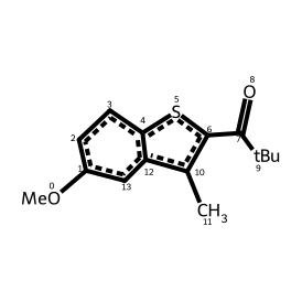 COc1ccc2sc(C(=O)C(C)(C)C)c(C)c2c1